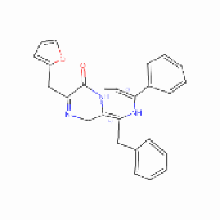 C/C=C(\N/C(Cc1ccccc1)=C1/CN=C(Cc2ccco2)C(=O)N1)c1ccccc1